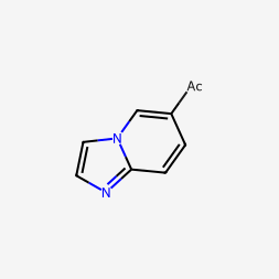 CC(=O)c1ccc2nccn2c1